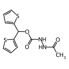 CC(=O)NNC(=O)OC(c1cccs1)c1cccs1